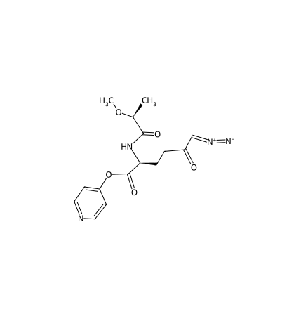 CO[C@@H](C)C(=O)N[C@@H](CCC(=O)C=[N+]=[N-])C(=O)Oc1ccncc1